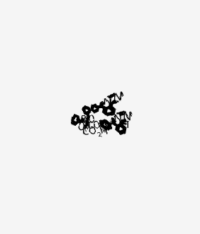 CN1CCN2CC(c3ccccc3)c3ccccc3C2C1.CN1CCN2C[C@H](c3ccccc3)c3ccccc3[C@H]2C1.O=C(O[C@@H](C(=O)O)[C@@H](OC(=O)c1ccccc1)C(=O)O)c1ccccc1